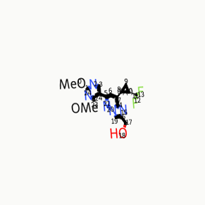 COc1ncc(-c2cc([C@H]3C[C@@H]3C(F)F)c3nc(CO)cn3n2)c(OC)n1